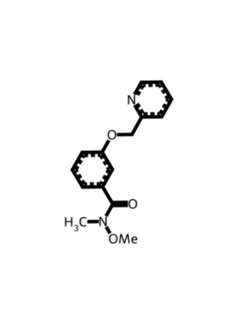 CON(C)C(=O)c1cccc(OCc2ccccn2)c1